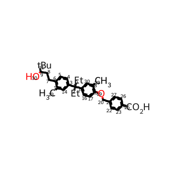 CCC(CC)(c1ccc(CCC(O)C(C)(C)C)c(C)c1)c1ccc(OCc2ccc(C(=O)O)cc2)c(C)c1